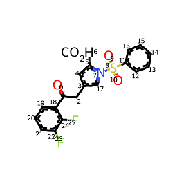 O=C(Cc1cc(C(=O)O)n(S(=O)(=O)c2ccccc2)c1)c1cccc(F)c1F